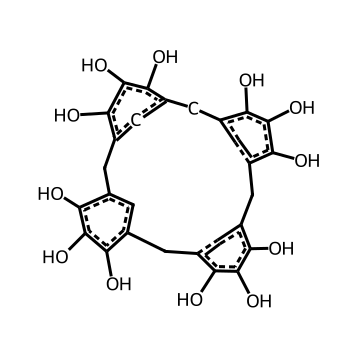 Oc1c2cc(c(O)c1O)Cc1cc(c(O)c(O)c1O)Cc1cc(c(O)c(O)c1O)Cc1cc(c(O)c(O)c1O)C2